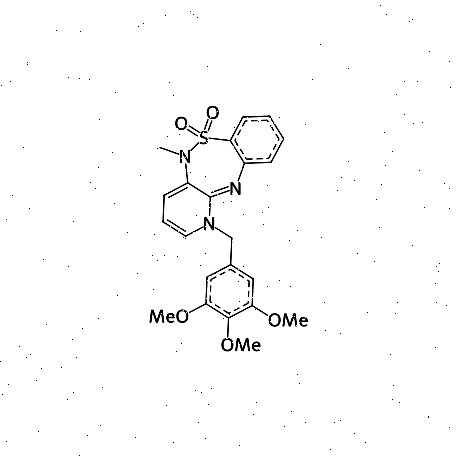 COc1cc(CN2C=CC=C3C2=Nc2ccccc2S(=O)(=O)N3C)cc(OC)c1OC